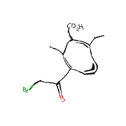 Cc1ccc(C(=O)CBr)c(C)c1C(=O)O